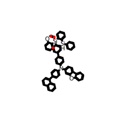 c1ccc([SiH]2c3ccccc3[Si]3(c4ccccc4Oc4ccccc43)c3ccc(-c4ccc(N(c5ccc(-c6cccc7ccccc67)cc5)c5ccc6c(c5)oc5ccccc56)cc4)cc32)cc1